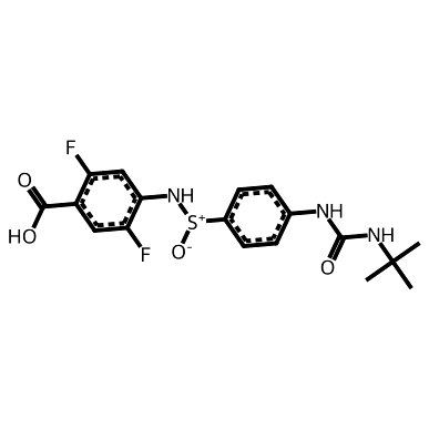 CC(C)(C)NC(=O)Nc1ccc([S+]([O-])Nc2cc(F)c(C(=O)O)cc2F)cc1